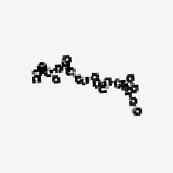 c1ccc(-c2ccc(-c3ccc(N(c4ccc(-c5ccc6c(c5)oc5ccc7c(-c8ccc9ccc(-c%10ccc(N(c%11ccccc%11)c%11ccc(-c%12ccc%13c(c%12)oc%12ccc%14ccccc%14c%12%13)c(-c%12ccccc%12)c%11)cc%10)cc9c8)cccc7c56)cc4)c4ccccc4-c4ccccc4)cc3)cc2)cc1